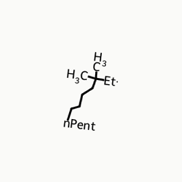 C[CH]C(C)(C)CCCCCCCCC